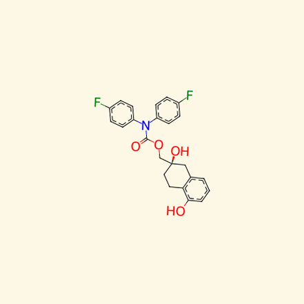 O=C(OC[C@@]1(O)CCc2c(O)cccc2C1)N(c1ccc(F)cc1)c1ccc(F)cc1